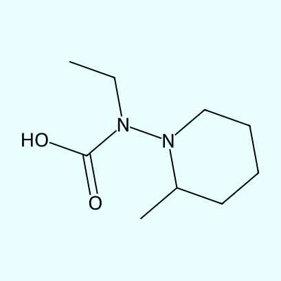 CCN(C(=O)O)N1CCCCC1C